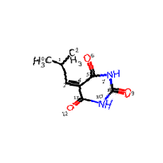 CC(C)C=C1C(=O)NC(=O)NC1=O